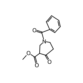 COC(=O)C1CN(C(=O)c2ccccc2)CCC1=O